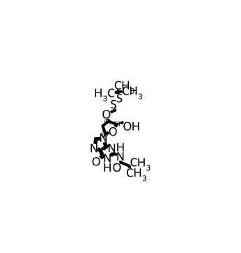 CC(C)C(=O)Nc1nc2c(ncn2[C@H]2C[C@@H](OCSSC(C)(C)C)[C@@H](CO)O2)c(=O)[nH]1